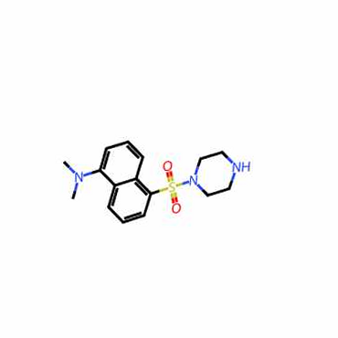 CN(C)c1cccc2c(S(=O)(=O)N3CCNCC3)cccc12